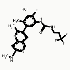 CNc1cc2nc(C)c(-c3cc(NC(=O)NCCC(F)(F)F)c(F)cc3C)cc2cn1.Cl